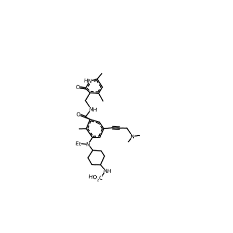 CCN(c1cc(C#CCN(C)C)cc(C(=O)NCc2c(C)cc(C)[nH]c2=O)c1C)C1CCC(NC(=O)O)CC1